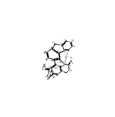 Cc1ccc2c(c1)COC(=O)[N+]2([O-])c1c(CC(N)=O)ccc2c1-c1ccccc1C2